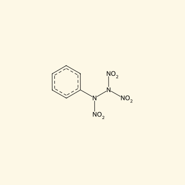 O=[N+]([O-])N(c1ccccc1)N([N+](=O)[O-])[N+](=O)[O-]